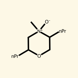 CCCC1C[N+](C)([O-])C(CCC)CO1